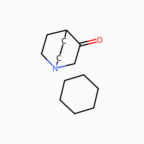 C1CCCCC1.O=C1CN2CCC1CC2